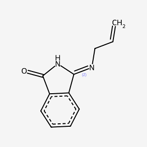 C=CC/N=C1\NC(=O)c2ccccc21